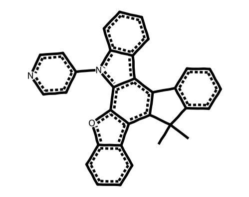 CC1(C)c2ccccc2-c2c1c1c3ccccc3oc1c1c2c2ccccc2n1-c1ccncc1